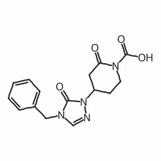 O=C(O)N1CCC(n2ncn(Cc3ccccc3)c2=O)CC1=O